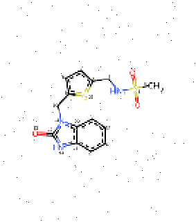 CS(=O)(=O)NCc1ccc(Cn2c(=O)[nH]c3ccccc32)s1